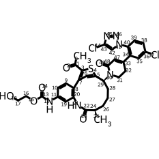 CC(=O)c1sc2cc1-c1ccc(NC(=O)OCCO)cc1NC(=O)[C@H](C)CCC[C@@H]2N1CCC(c2cc(Cl)ccc2-n2cc(Cl)nn2)=CC1=O